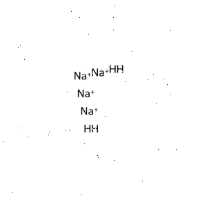 [HH].[HH].[Na+].[Na+].[Na+].[Na+]